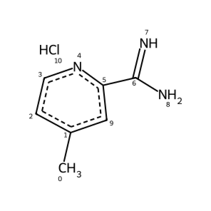 Cc1ccnc(C(=N)N)c1.Cl